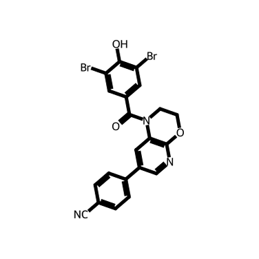 N#Cc1ccc(-c2cnc3c(c2)N(C(=O)c2cc(Br)c(O)c(Br)c2)CCO3)cc1